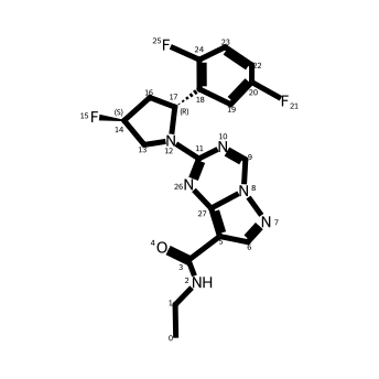 CCNC(=O)c1cnn2cnc(N3C[C@@H](F)C[C@@H]3c3cc(F)ccc3F)nc12